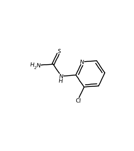 NC(=S)Nc1ncccc1Cl